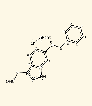 CCCCCCl.O=CCc1c[nH]c2cc(OCc3ccccc3)ccc12